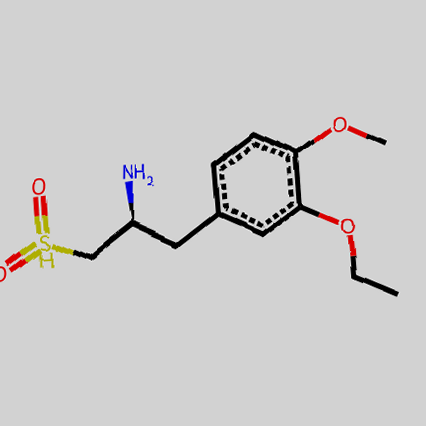 CCOc1cc(C[C@H](N)C[SH](=O)=O)ccc1OC